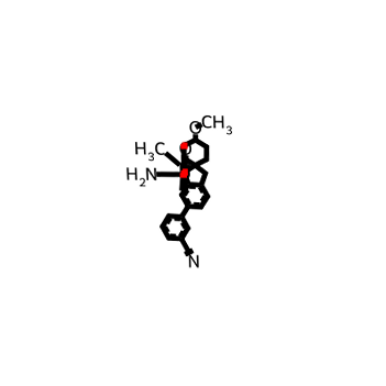 COC1CCC2(CC1)Cc1ccc(-c3cccc(C#N)c3)cc1C21N=C(N)N(C)C1=O